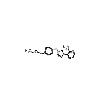 CCOCc1ccc(CN2CC(c3cccnc3N)C=N2)cc1